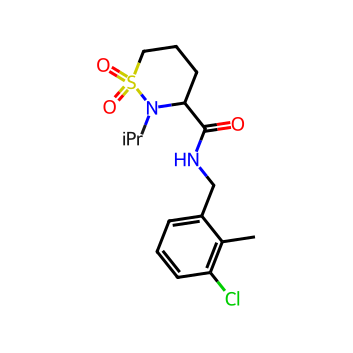 Cc1c(Cl)cccc1CNC(=O)C1CCCS(=O)(=O)N1C(C)C